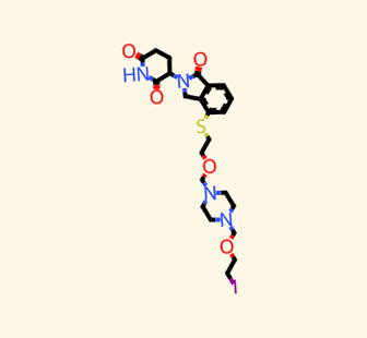 O=C1CCC(N2Cc3c(SCCOCN4CCN(COCCI)CC4)cccc3C2=O)C(=O)N1